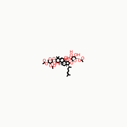 CC(=O)OC[C@@H]1O[C@@H](O[C@@H]2C[C@]3(C)[C@H]4[C@@H](O)C=C5[C@H](CC[C@@H](O[C@@H]6OC[C@@H](OC(C)=O)[C@H](OC(C)=O)C6O)C5(C)C)[C@@]4(C)CC[C@@]3(C)[C@@H]2C(C)CCC=C(C)C)[C@@H](O)[C@@H](O)[C@@H]1O